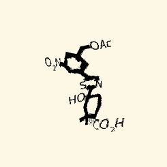 CC(=O)OCc1cc(-c2cnc([C@@]3(O)CC[C@H](C(=O)O)C(C)(C)C3)s2)cc([N+](=O)[O-])c1